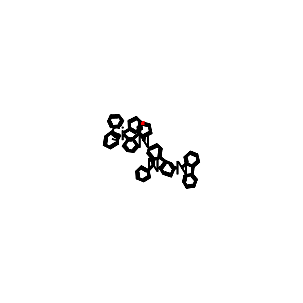 c1ccc(-n2c3ccc(-n4c5ccccc5c5ccccc54)cc3c3ccc(-n4c5ccccc5c5c([Si](c6ccccc6)(c6ccccc6)c6ccccc6)cccc54)cc32)cc1